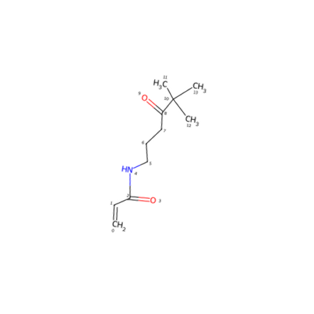 C=CC(=O)NCCCC(=O)C(C)(C)C